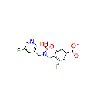 COC(=O)c1ccc(CN(Cc2cncc(F)c2)[SH](=O)=O)c(F)c1